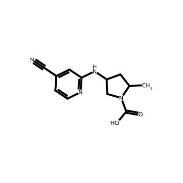 CC1CC(Nc2cc(C#N)ccn2)CN1C(=O)O